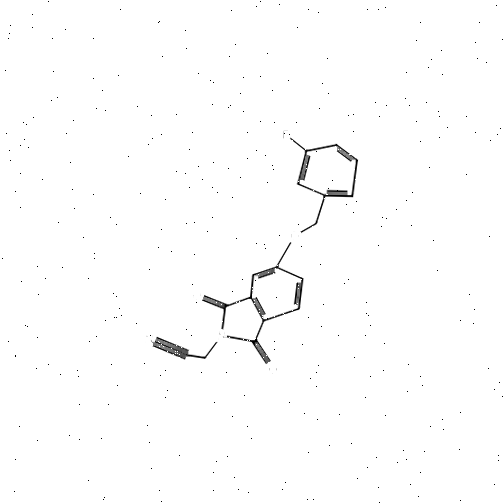 N#CCN1C(=O)c2ccc(OCc3cccc(F)c3)cc2C1=O